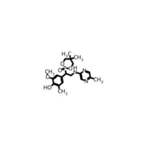 COc1cc(C(CNc2cnc(C)cn2)P2(=O)OCC(C)(C)CO2)cc(C)c1O